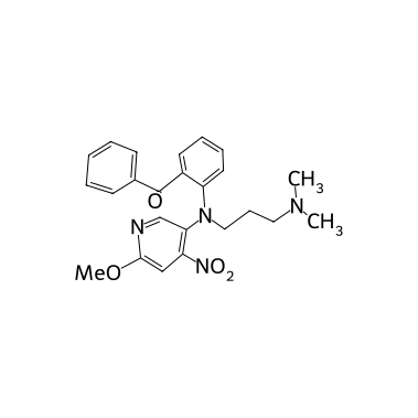 COc1cc([N+](=O)[O-])c(N(CCCN(C)C)c2ccccc2C(=O)c2ccccc2)cn1